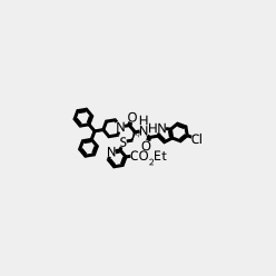 CCOC(=O)c1cccnc1SC[C@H](NC(=O)c1cc2cc(Cl)ccc2[nH]1)C(=O)N1CCC(C(c2ccccc2)c2ccccc2)CC1